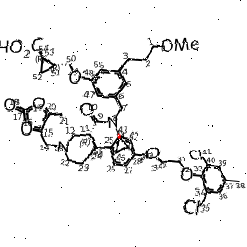 COCCCc1cc(CN(C(=O)[C@H]2CN(Cc3oc(=O)oc3C)CC[C@@H]2c2ccc(OCCOc3c(Cl)cc(C)cc3Cl)cc2)C2CC2)cc(OC[C@@H]2C[C@H]2C(=O)O)c1